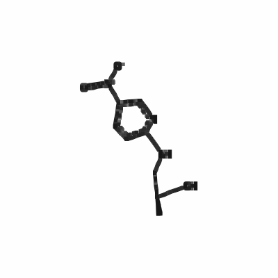 C[C@H](O)CNc1ccc([N+](=O)[O-])cn1